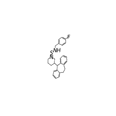 Fc1ccc(CNSN2CCCC(C3c4ccccc4CCc4ccccc43)C2)cc1